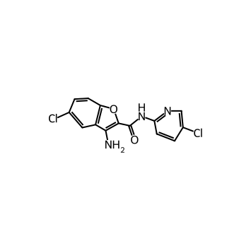 Nc1c(C(=O)Nc2ccc(Cl)cn2)oc2ccc(Cl)cc12